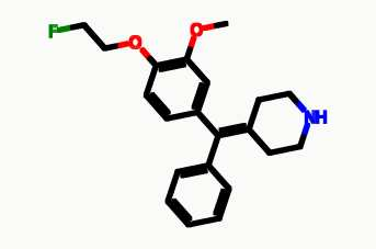 COc1cc(C(=C2CCNCC2)c2ccccc2)ccc1OCCF